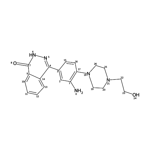 Nc1cc(-c2n[nH]c(=O)c3ccccc23)ccc1N1CCN(CCO)CC1